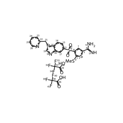 CSc1sc(C(=N)N)cc1S(=O)(=O)c1ccc2c(c1)ncn2Cc1ccccn1.O=C(O)C(F)(F)F.O=C(O)C(F)(F)F